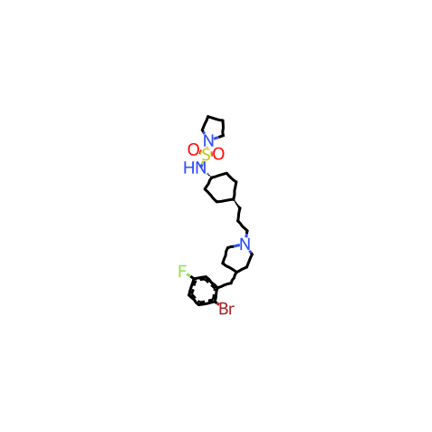 O=S(=O)(N[C@H]1CC[C@H](CCCN2CCC(Cc3cc(F)ccc3Br)CC2)CC1)N1CCCC1